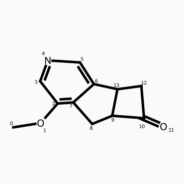 COc1cncc2c1CC1C(=O)CC21